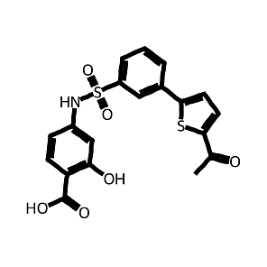 CC(=O)c1ccc(-c2cccc(S(=O)(=O)Nc3ccc(C(=O)O)c(O)c3)c2)s1